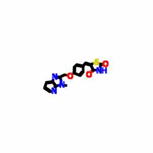 Cn1c(COc2ccc(/C=C3/SC(=O)NC3=O)cc2)nc2cccnc21